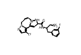 NCC(Cc1cccc(F)c1)NC(=O)C1C=C2c3c(Cl)cnn3CCCN2N1